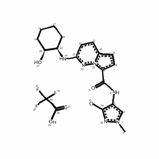 Cn1cc(NC(=O)c2ccc3ccc(N[C@@H]4CCCC[C@@H]4O)nn23)c(Cl)n1.O=C(O)C(F)(F)F